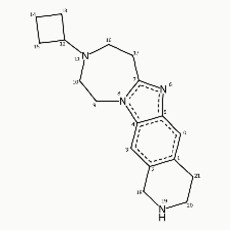 c1c2c(cc3c1nc1n3CCN(C3CCC3)CC1)CNCC2